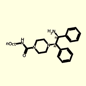 CCCCCCCCNC(=O)N1CCN([C@H](c2ccccc2)[C@@H](N)c2ccccc2)CC1